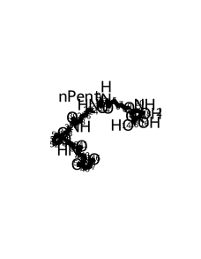 CCCCC[C@H](NC(=O)CCCCO[C@@H]1OC(CO)[C@H](O)C(O)[C@@H]1N)C(=O)NCCCCCC(=O)NCCOC1(OCCNC(=O)CCN2C(=O)C=CC2=O)CCCC1